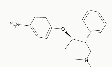 CN1CC[C@@H](Oc2ccc(N)cc2)[C@H](c2ccccc2)C1